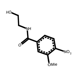 COc1cc(C(=O)NCCO)ccc1[N+](=O)[O-]